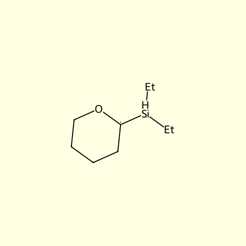 CC[SiH](CC)[C]1CCCCO1